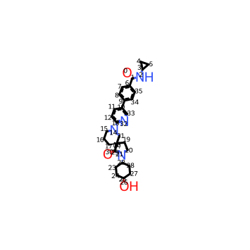 O=C(NC1CC1)c1ccc(-c2ccc(N3CCC[C@]4(CCN([C@H]5CC[C@H](O)CC5)C4=O)C3)nc2)cc1